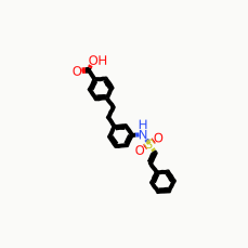 O=C(O)c1ccc(CCc2cccc(NS(=O)(=O)C=Cc3ccccc3)c2)cc1